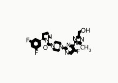 Cc1nc(CO)nn1-c1nc(N2CCN(C(=O)N3N=CC[C@H]3c3cc(F)cc(F)c3)CC2)ncc1F